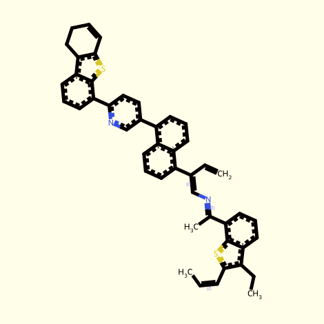 C=C/C(=C\N=C(/C)c1cccc2c(CC)c(/C=C\C)sc12)c1cccc2c(-c3ccc(-c4cccc5c6c(sc45)C=CCC6)nc3)cccc12